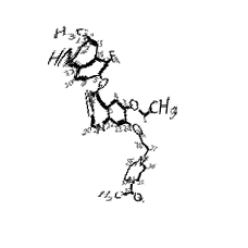 CCOc1cc2c(Oc3ccc4[nH]c(C)cc4c3F)ncnc2cc1OCCN1CCN(C(C)=O)CC1